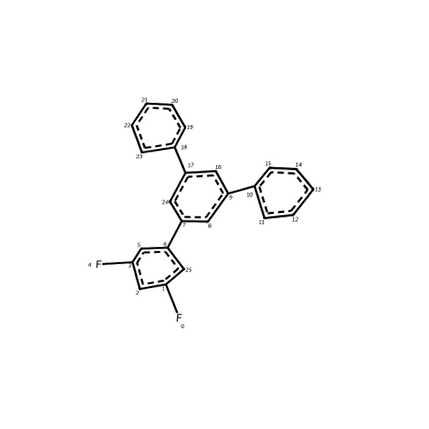 Fc1cc(F)cc(-c2cc(-c3ccccc3)cc(-c3ccccc3)c2)c1